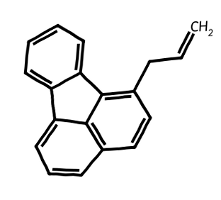 C=CCc1ccc2cccc3c2c1-c1ccccc1-3